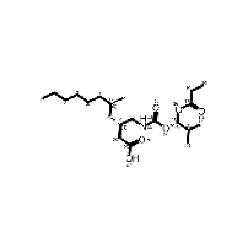 CCCCCC[C@@H](C)C[C@H](CNC(=O)O[C@H](OC(=O)CC)C(C)C)CC(=O)O